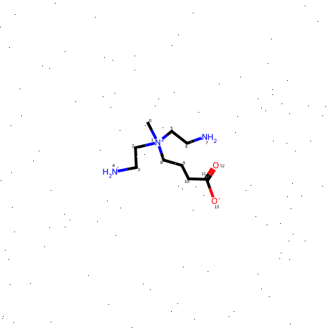 C[N+](CCN)(CCN)CCCC(=O)[O-]